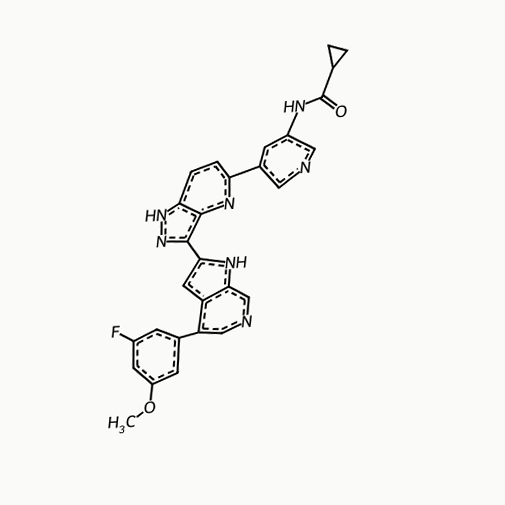 COc1cc(F)cc(-c2cncc3[nH]c(-c4n[nH]c5ccc(-c6cncc(NC(=O)C7CC7)c6)nc45)cc23)c1